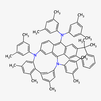 Cc1cc(C)cc(N(c2cc(C)cc(C)c2)c2c3cc4c(cc3c3c5cc(ccc25)n(-c2cc(C)cc(C)c2)c2cc(C)cc(C)c2c2cc(C)cc(c2)n3-c2cc(C)cc(C)c2)-c2ccccc2C4(C)C)c1